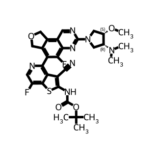 CO[C@H]1CN(c2ncc3c4c(c(-c5ncc(F)c6sc(NC(=O)OC(C)(C)C)c(C#N)c56)c(F)c3n2)COC4)C[C@H]1N(C)C